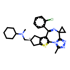 Cc1nnc2n1-c1sc3c(c1C(c1ccccc1Cl)=NC21CC1)C[C@H](CN(C)C1CCCCC1)C3